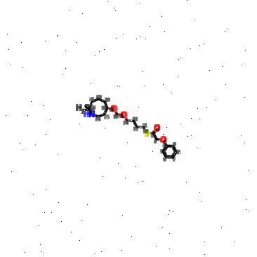 O=C(COc1ccccc1)SCCCCOCOC1CCC[SiH2]NCC1